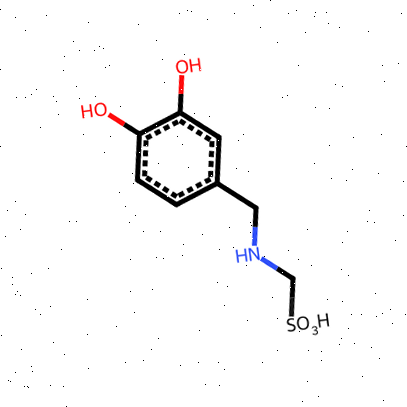 O=S(=O)(O)CNCc1ccc(O)c(O)c1